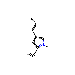 CC(=O)/C=C/c1cc(C(=O)O)n(C)c1